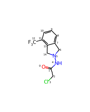 O=C(CCl)NN1Cc2cccc(C(F)(F)F)c2C1